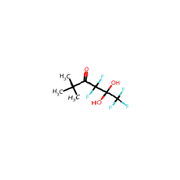 CC(C)(C)C(=O)C(F)(F)C(O)(O)C(F)(F)F